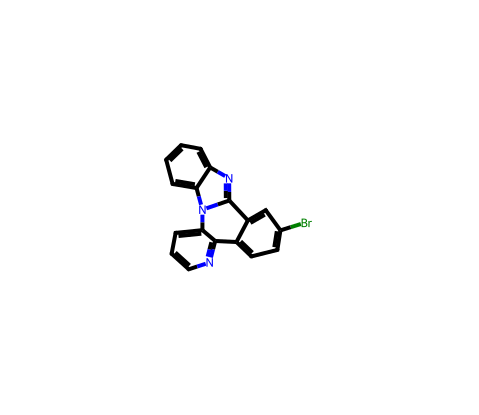 Brc1ccc2c(c1)c1nc3ccccc3n1c1cccnc21